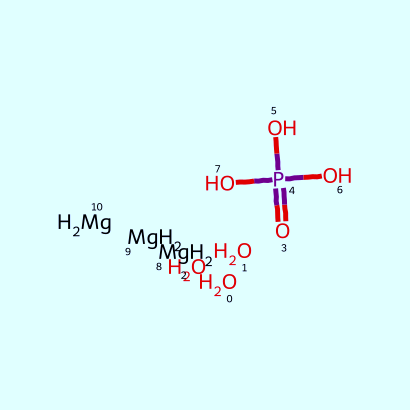 O.O.O.O=P(O)(O)O.[MgH2].[MgH2].[MgH2]